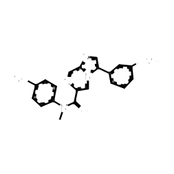 COc1cccc(-c2cnc3cnc(C(=O)N(C)c4ccc(C#N)cc4)cn23)c1